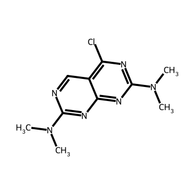 CN(C)c1ncc2c(Cl)nc(N(C)C)nc2n1